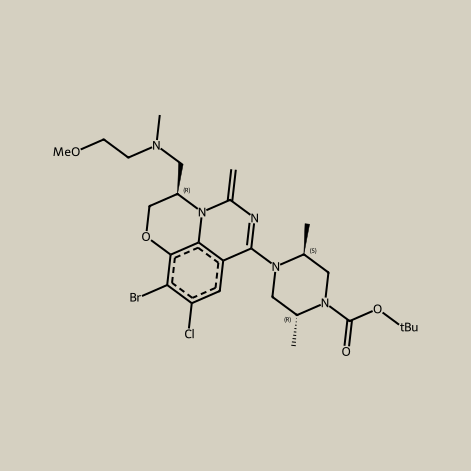 C=C1N=C(N2C[C@@H](C)N(C(=O)OC(C)(C)C)C[C@@H]2C)c2cc(Cl)c(Br)c3c2N1[C@H](CN(C)CCOC)CO3